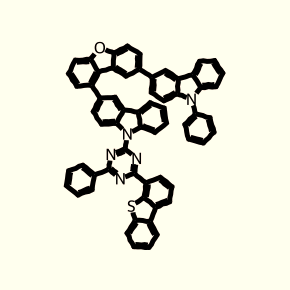 c1ccc(-c2nc(-c3cccc4c3sc3ccccc34)nc(-n3c4ccccc4c4cc(-c5cccc6oc7ccc(-c8ccc9c(c8)c8ccccc8n9-c8ccccc8)cc7c56)ccc43)n2)cc1